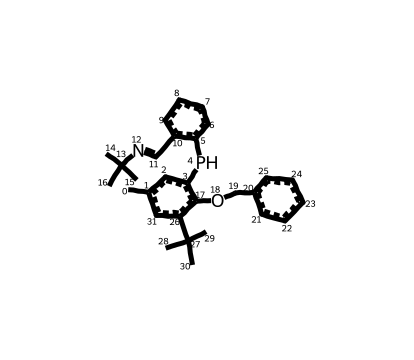 Cc1cc(Pc2ccccc2/C=N/C(C)(C)C)c(OCc2ccccc2)c(C(C)(C)C)c1